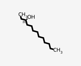 CCCCCCCCCC[C@H](O)CC